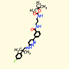 CC(C)(C)OC(=O)NCCCNC(=O)c1cccc(-c2ccc(NCC(C)(C)c3ccc(F)cc3)nn2)c1